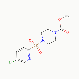 CC(C)(C)OC(=O)N1CCN(S(=O)(=O)c2ccc(Br)cn2)CC1